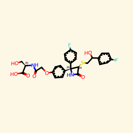 O=C(COc1ccc([C@]2(c3ccc(F)cc3)NC(=O)[C@@H]2SCC(O)c2ccc(F)cc2)cc1)N[C@H](CO)C(=O)O